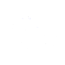 O=C(O)c1cc(NC(c2ccoc2)c2ccoc2)[nH]n1